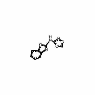 c1ccc2oc(Nc3nnco3)nc2c1